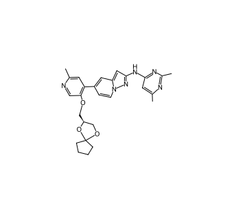 Cc1cc(-c2ccn3nc(Nc4cc(C)nc(C)n4)cc3c2)c(OC[C@H]2COC3(CCCC3)O2)cn1